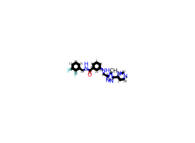 Cn1c(CNc2cccc(C(=O)NCc3cccc(F)c3F)c2)nnc1-c1ccncn1